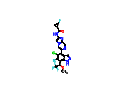 COC(c1c(F)c(Cl)c(-c2cn3cc(NC(=O)C4CC4F)nc3cn2)c2cn[nH]c12)C(F)(F)F